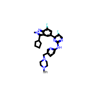 CCCN1CCN(Cc2ccc(Nc3ncc(F)c(-c4cc(F)c5nn(C)c(C6CCCC6)c5c4)n3)nc2)CC1